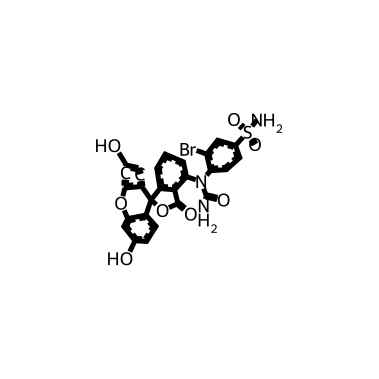 NC(=O)N(c1ccc(S(N)(=O)=O)cc1Br)c1cccc2c1C(=O)OC21c2ccc(O)cc2Oc2cc(O)ccc21